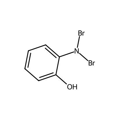 Oc1ccccc1N(Br)Br